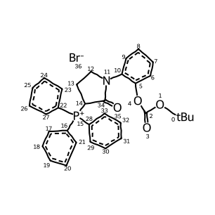 CC(C)(C)OC(=O)Oc1ccccc1N1CCC([P+](c2ccccc2)(c2ccccc2)c2ccccc2)C1=O.[Br-]